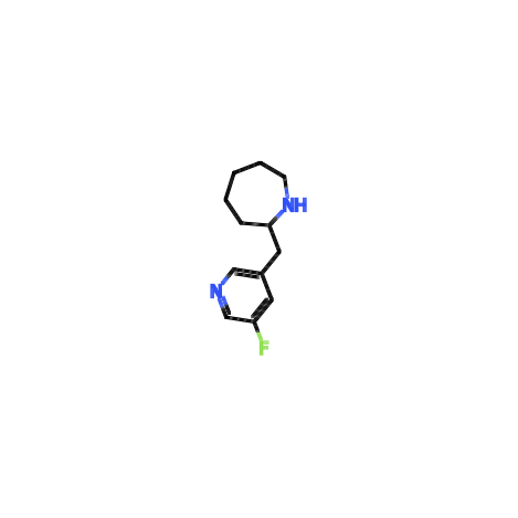 Fc1cncc(CC2CCCCCN2)c1